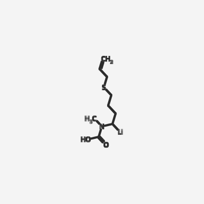 [Li][CH](CCCSCC=C)N(C)C(=O)O